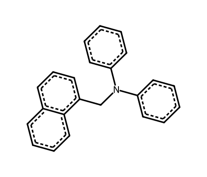 c1ccc(N(Cc2cccc3ccccc23)c2ccccc2)cc1